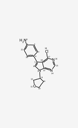 Nc1ccc(-c2cn(C3CCOC3)c3ncnc(Cl)c23)cc1